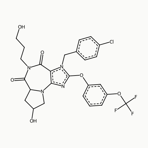 O=C1c2c(nc(Oc3cccc(OC(F)(F)F)c3)n2Cc2ccc(Cl)cc2)N2CC(O)CC2C(=O)N1CCCO